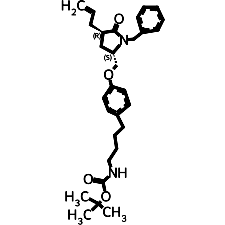 C=CC[C@@H]1C[C@@H](COc2ccc(CCCCNC(=O)OC(C)(C)C)cc2)N(Cc2ccccc2)C1=O